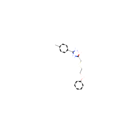 Cc1ccc(-c2noc(CSCCOc3ccccc3)n2)cc1